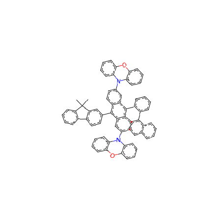 CC1(C)c2ccccc2-c2ccc(-c3c4cc(N5c6ccccc6Oc6ccccc65)ccc4c(-c4ccccc4-c4cccc5ccccc45)c4cc(N5c6ccccc6Oc6ccccc65)ccc34)cc21